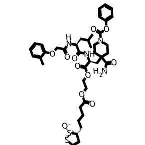 Cc1ccccc1OCC(=O)N[C@@H](CC(C)C)C(=O)N[C@@H](CC1(C(N)=O)CCN(C(=O)Oc2ccccc2)CC1)C(=O)OCCOC(=O)CCCC[C@@H]1CCS[S+]1[O-]